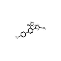 Cc1ccc(-c2ccc(-c3nnc(C)o3)c(S(=O)(=O)O)c2)cc1